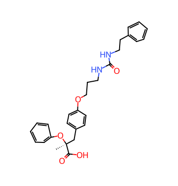 C[C@@](Cc1ccc(OCCCNC(=O)NCCc2ccccc2)cc1)(Oc1ccccc1)C(=O)O